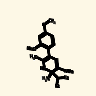 CCC(CC)C1(N)NC(C)=C(c2ccc(OC(F)(F)F)cc2OC)N=C1NC